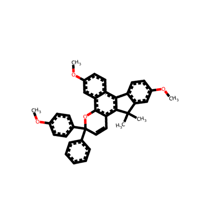 COc1ccc(C2(c3ccccc3)C=Cc3c4c(c5ccc(OC)cc5c3O2)-c2ccc(OC)cc2C4(C)C)cc1